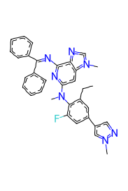 CCc1cc(-c2cnn(C)c2)cc(F)c1N(C)c1cc2c(ncn2C)c(N=C(c2ccccc2)c2ccccc2)n1